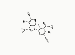 N#Cc1ncc(F)c(C(=O)C2CC2)c1Br.N#Cc1ncc2[nH]nc(C3CC3)c2c1Br